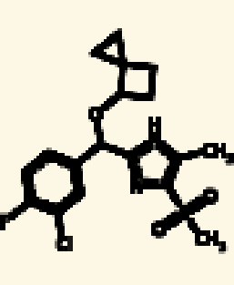 Cc1[nH]c(C(OC2CCC23CC3)c2ccc(F)c(Cl)c2)nc1S(C)(=O)=O